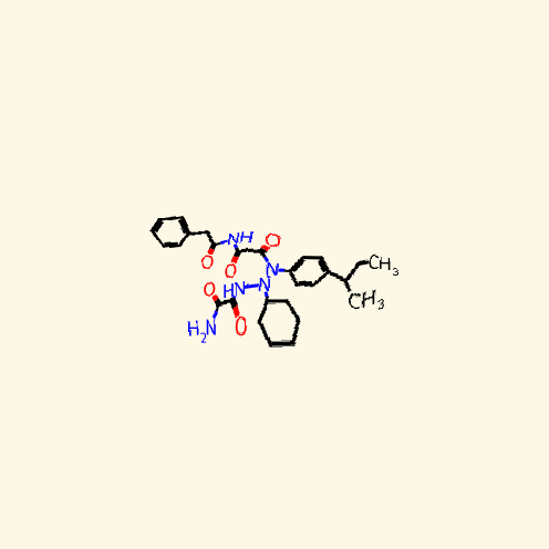 CCC(C)c1ccc(N(C(=O)C(=O)NC(=O)Cc2ccccc2)N(NC(=O)C(N)=O)C2CCCCC2)cc1